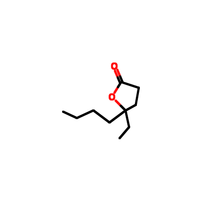 CCCCC1(CC)CCC(=O)O1